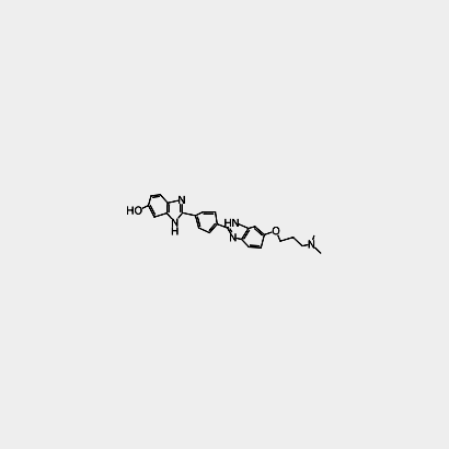 CN(C)CCCOc1ccc2nc(-c3ccc(-c4nc5ccc(O)cc5[nH]4)cc3)[nH]c2c1